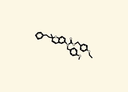 CCOc1ccc(COC(=O)N(Cc2ccc(OC)cc2)c2ccc3c(c2)C=CC(C)(CCc2ccccc2)O3)cc1